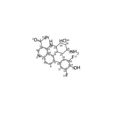 CC(C)C(=O)c1cnc2ccc(-c3cc(F)c(O)c(F)c3)cc2c1NC1CCC(N)CC1.Cl